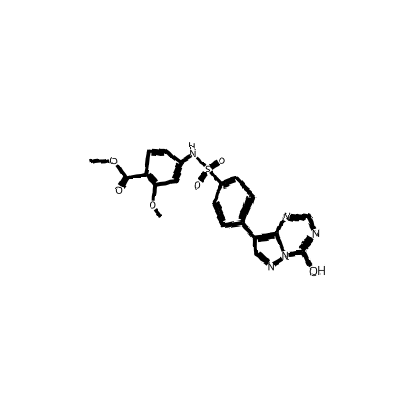 COC(=O)c1ccc(NS(=O)(=O)c2ccc(-c3cnn4c(O)ncnc34)cc2)cc1OC